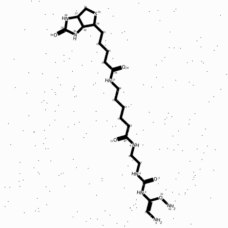 N/C=C(/NC(=O)NCCNC(=O)CCCCCNC(=O)CCCCC1SCC2NC(=O)NC21)ON